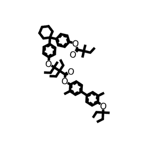 CCC(C)(CC)Oc1ccc(-c2ccc(OC(=O)C(CC)(CC)C(C)(CC)Oc3ccc(C4(c5ccc(OC(=O)C(C)(C)CC)cc5)CCCCC4)cc3)c(C)c2)cc1C